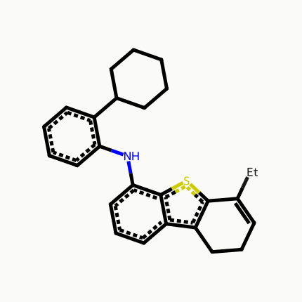 CCC1=CCCc2c1sc1c(Nc3ccccc3C3CCCCC3)cccc21